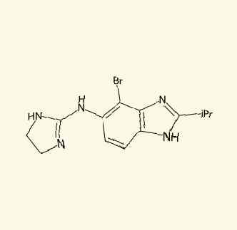 CC(C)c1nc2c(Br)c(NC3=NCCN3)ccc2[nH]1